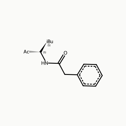 CC[C@H](C)[C@H](NC(=O)Cc1ccccc1)C(C)=O